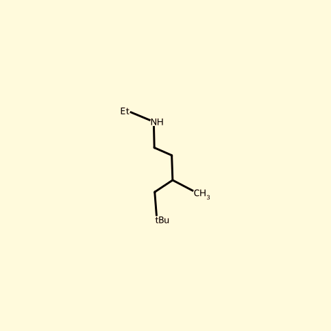 CCNCCC(C)CC(C)(C)C